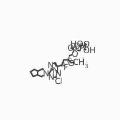 CO[C@H](COP(=O)(O)CP(=O)(O)O)C[C@H](F)c1cnc2c(N3CC4CCCC4C3)nc(Cl)nn12